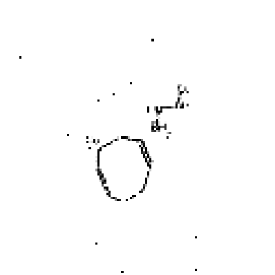 BBBCC.C1=CCCC=CCC1.[Co]